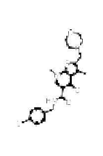 Cc1c(CN2CCOCC2)sc2c1c(=O)c(C(=O)NCc1ccc(Cl)cc1)cn2C